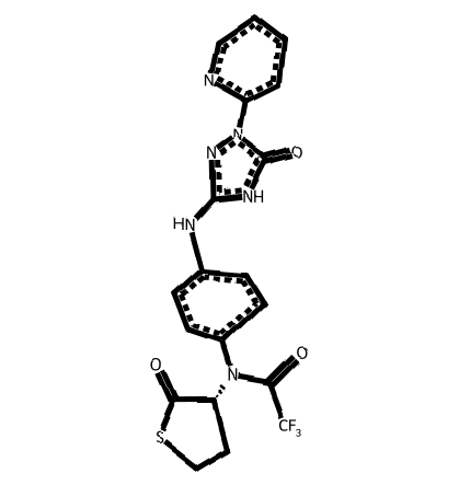 O=C1SCC[C@H]1N(C(=O)C(F)(F)F)c1ccc(Nc2nn(-c3ccccn3)c(=O)[nH]2)cc1